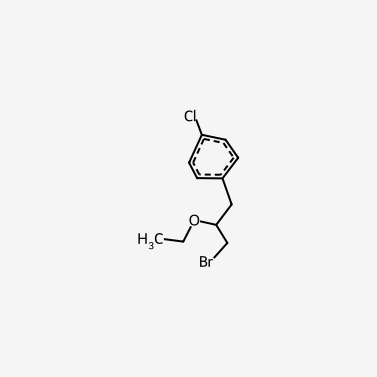 CCOC(CBr)Cc1ccc(Cl)cc1